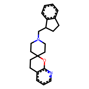 c1ccc2c(c1)CCC2CN1CCC2(CCc3cccnc3O2)CC1